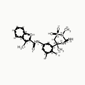 Cc1c(C(=O)Nc2cc(F)c(F)c([C@]3(C)CS(=O)(=O)N(C)C(=N)N3)c2)oc2ccccc12